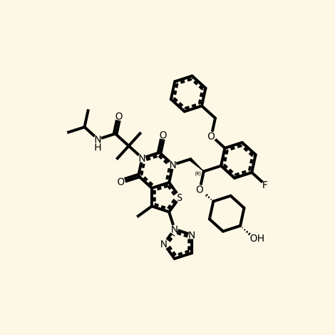 Cc1c(-n2nccn2)sc2c1c(=O)n(C(C)(C)C(=O)NC(C)C)c(=O)n2C[C@H](O[C@H]1CC[C@@H](O)CC1)c1cc(F)ccc1OCc1ccccc1